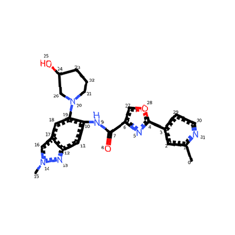 Cc1cc(-c2nc(C(=O)Nc3cc4nn(C)cc4cc3N3CCCC(O)C3)co2)ccn1